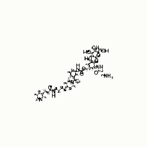 NCCC(=O)Nc1cc(COC(=O)Nc2cccc(C(=O)N3CCC(CCCCNC(=O)/C=C/c4cccnc4)CC3)c2)ccc1O[C@H]1O[C@H](CO)[C@@H](O)[C@H](O)[C@@H]1O